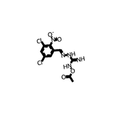 CC(=O)ONC(=N)NN=Cc1cc(Cl)cc(Cl)c1[N+](=O)[O-]